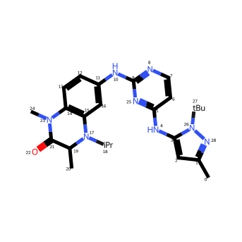 Cc1cc(Nc2ccnc(Nc3ccc4c(c3)N(C(C)C)C(C)C(=O)N4C)n2)n(C(C)(C)C)n1